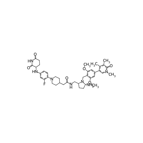 COc1cc(-c2cn(C)c(=O)c(C)c2C)cc(OC)c1CN1C(N)CCC1CNC(=O)CC1CCN(c2ccc(NC3CCC(=O)NC3=O)cc2F)CC1